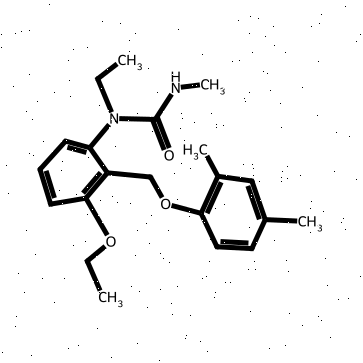 CCOc1cccc(N(CC)C(=O)NC)c1COc1ccc(C)cc1C